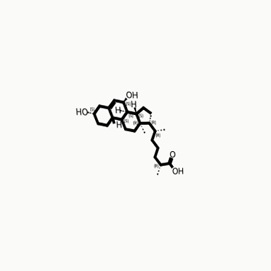 C[C@H](CCC[C@@H](C)[C@H]1CC[C@H]2[C@@H]3[C@H](O)C=C4C[C@@H](O)CCC4(C)[C@H]3CC[C@]12C)C(=O)O